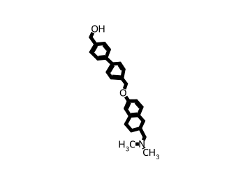 CN(C)CC1CCc2cc(OCc3ccc(-c4ccc(CO)cc4)cc3)ccc2C1